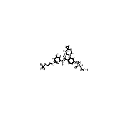 Cc1cc(NC(=O)c2ccc(N[S+]([O-])CCO)cc2N2CCC3(CC2)CC3)nc(OCCCC(F)(F)F)c1